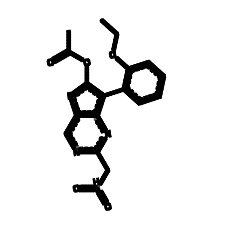 CCOc1ccccc1-c1c(OC(C)=O)sc2cnc(C[SH](=O)=O)nc12